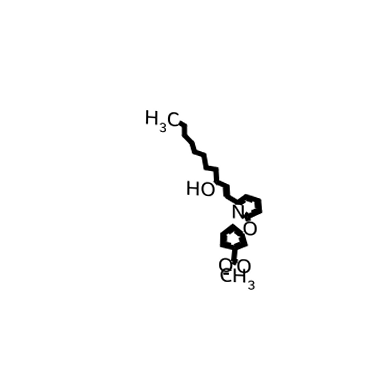 CCCCCCCCC(O)C=Cc1cccc(Oc2cccc(C(=O)OC)c2)n1